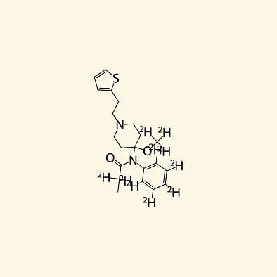 [2H]c1c([2H])c([2H])c(N(C(=O)C([2H])([2H])C)C2(OC([2H])([2H])[2H])CCN(CCc3cccs3)CC2)c([2H])c1[2H]